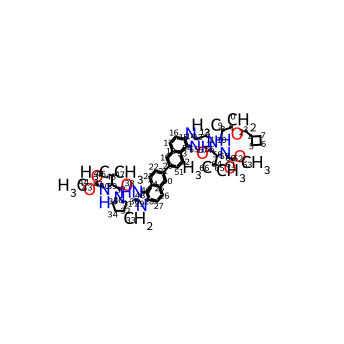 C=C(OCC1CCC1)[C@@H](C)CN(Cc1nc2ccc3cc(-c4ccc5c(ccc6nc([C@@H]7C(=C)CCN7C(=O)[C@@H](NC(=O)OC)C(C)C)[nH]c65)c4)ccc3c2[nH]1)C(=O)[C@@H](NC(=O)OC)C(C)C